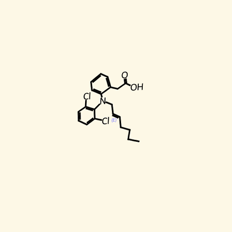 CCCC/C=C/CN(c1ccccc1CC(=O)O)c1c(Cl)cccc1Cl